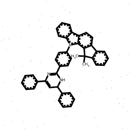 CC1(C)c2ccccc2-c2ccc3c4ccccc4n(-c4ccc(C5=NC(c6ccccc6)=CC(c6ccccc6)N5)cc4)c3c21